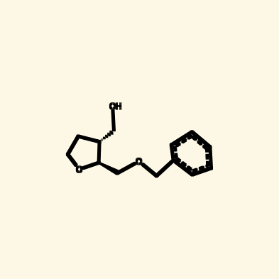 OC[C@H]1CCO[C@@H]1COCc1ccccc1